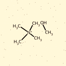 CO.C[N+](C)(C)C